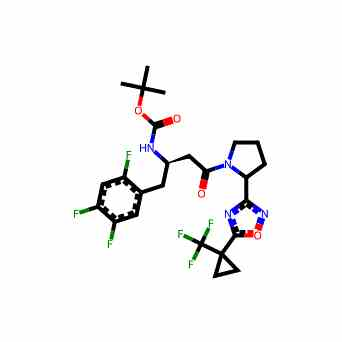 CC(C)(C)OC(=O)N[C@@H](CC(=O)N1CCCC1c1noc(C2(C(F)(F)F)CC2)n1)Cc1cc(F)c(F)cc1F